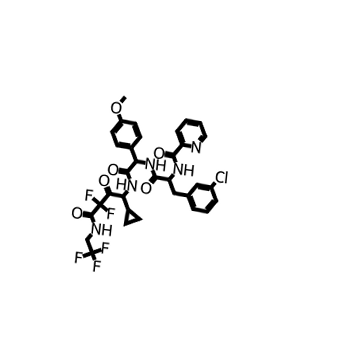 COc1ccc(C(NC(=O)C(Cc2cccc(Cl)c2)NC(=O)c2ccccn2)C(=O)NC(C(=O)C(F)(F)C(=O)NCC(F)(F)F)C2CC2)cc1